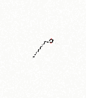 CC(C)=CCC/C(C)=C/CC/C(C)=C/CC[C@H](C)CCC1=CC(=O)C(C)=C(C)C1=O